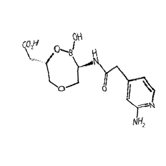 Nc1cc(CC(=O)N[C@H]2COC[C@H](CC(=O)O)OB2O)ccn1